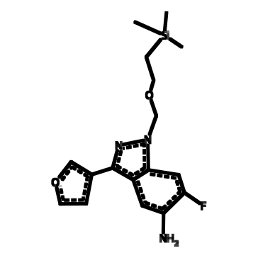 C[Si](C)(C)CCOCn1nc(-c2ccoc2)c2cc(N)c(F)cc21